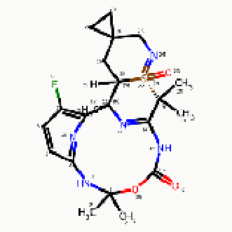 CC1(C)Nc2ccc(F)c(n2)[C@@]2(C)N=C(NC(=O)O1)C(C)(C)[S@@]1(=O)=NCC3(CC3)C[C@@H]21